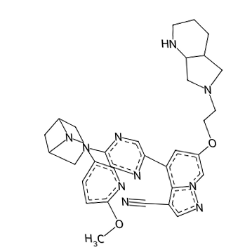 COc1ccc(CN2C3CC2CN(c2cnc(-c4cc(OCCN5CC6CCCNC6C5)cn5ncc(C#N)c45)cn2)C3)cn1